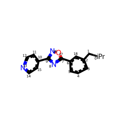 CC(C)Cc1cccc(-c2nc(-c3ccncc3)no2)c1